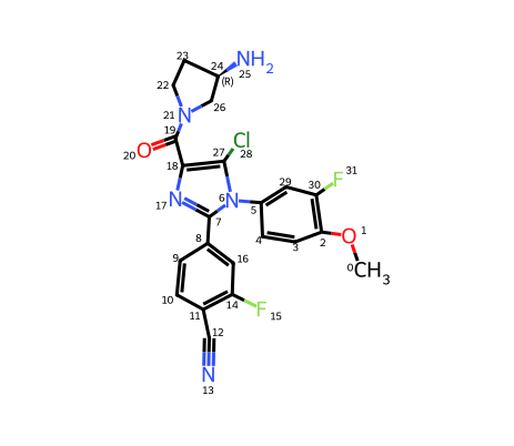 COc1ccc(-n2c(-c3ccc(C#N)c(F)c3)nc(C(=O)N3CC[C@@H](N)C3)c2Cl)cc1F